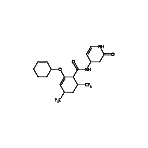 O=C1CC(NC(=O)C2C(OC3C=CCCC3)=CC(C(F)(F)F)CC2C(F)(F)F)C=CN1